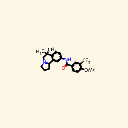 COc1ccc(C(=O)Nc2ccc3c(c2)C2CCCN2CC3(C)C)cc1C(F)(F)F